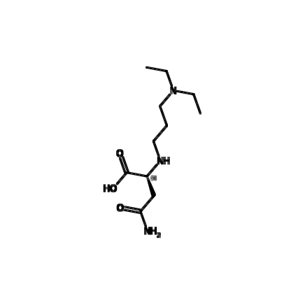 CCN(CC)CCCN[C@@H](CC(N)=O)C(=O)O